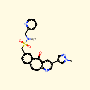 CCN(Cc1ccccn1)S(=O)(=O)Cc1ccc2ccc3ncc(-c4cnn(C)c4)cc3c(=O)c2c1